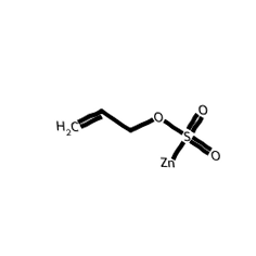 C=CCO[S](=O)(=O)[Zn]